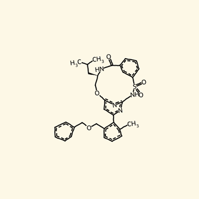 Cc1cccc(COCc2ccccc2)c1-c1cc2nc(n1)NS(=O)(=O)c1cccc(c1)C(=O)N[C@H](CC(C)C)CO2